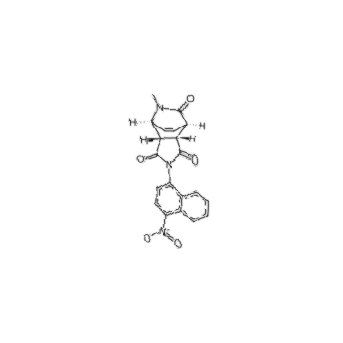 CN1C(=O)[C@@H]2C=C[C@H]1[C@H]1C(=O)N(c3ccc([N+](=O)[O-])c4ccccc34)C(=O)[C@H]12